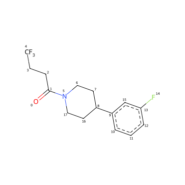 O=C(CCC(F)(F)F)N1CCC(c2cccc(F)c2)CC1